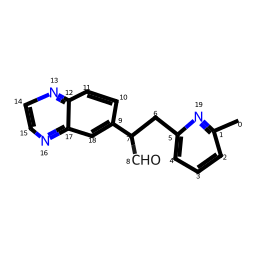 Cc1cccc(CC(C=O)c2ccc3nccnc3c2)n1